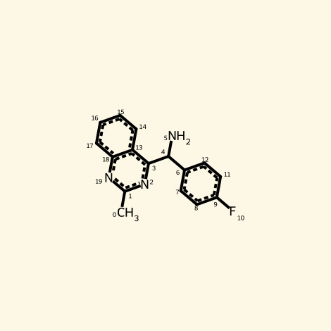 Cc1nc(C(N)c2ccc(F)cc2)c2ccccc2n1